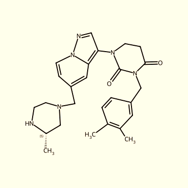 Cc1ccc(CN2C(=O)CCN(c3cnn4ccc(CN5CCN[C@@H](C)C5)cc34)C2=O)cc1C